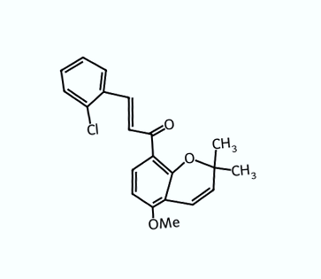 COc1ccc(C(=O)/C=C/c2ccccc2Cl)c2c1C=CC(C)(C)O2